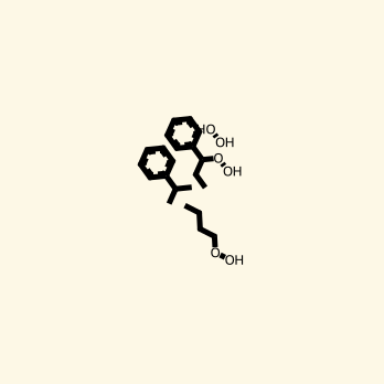 CC(C)c1ccccc1.CCC(OO)c1ccccc1.CCCCOO.OO